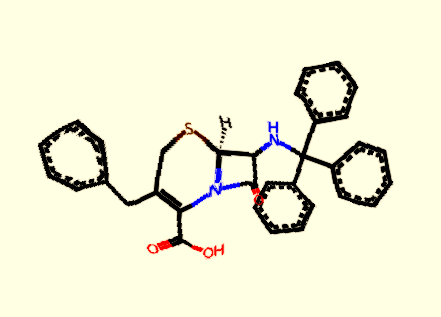 O=C(O)C1=C(Cc2ccccc2)CS[C@H]2C(NC(c3ccccc3)(c3ccccc3)c3ccccc3)C(=O)N12